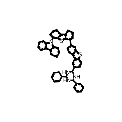 C1=CCC(C2NC(c3ccccc3)NC(c3ccc4sc5cc(-c6cccc7c6sc6c(-n8c9ccccc9c9ccccc98)cccc67)ccc5c4c3)N2)C=C1